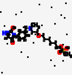 CN(CCOCCCCCCOS(C)(=O)=O)Cc1cccc(N2C(=O)CNC2=O)c1